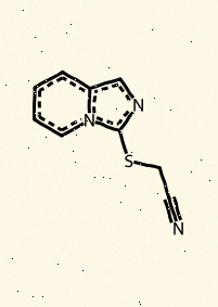 N#CCSc1ncc2ccccn12